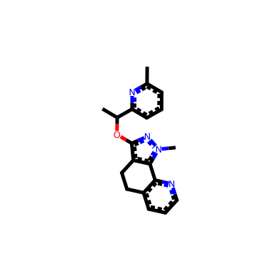 Cc1cccc(C(C)Oc2nn(C)c3c2CCc2cccnc2-3)n1